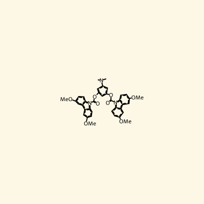 COc1ccc2c(c1)c1cc(OC)ccc1n2C(=O)Oc1cc(OC(=O)n2c3ccc(OC)cc3c3cc(OC)ccc32)cc(N(C)C)c1